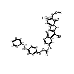 CCc1c2c(nc3ccc(OC(=O)OCc4ccc(SSc5ccccn5)cc4)cc13)-c1cc(O)c(COC(C)=O)c(=O)n1C2